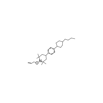 C=CCON1C(C)(C)CC(c2ccc(C3CCC(CCCC)CC3)cc2)CC1(C)C